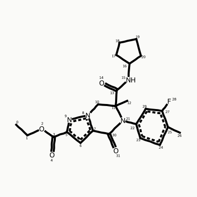 CCOC(=O)c1cc2n(n1)CC(C)(C(=O)NC1CCCC1)N(c1ccc(C)c(F)c1)C2=O